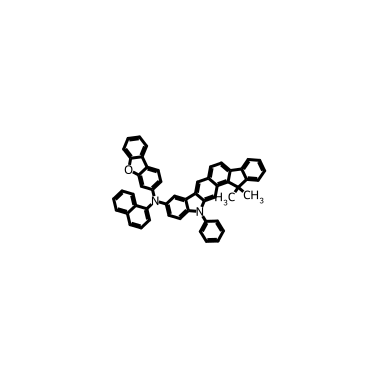 CC1(C)c2ccccc2-c2ccc3cc4c5cc(N(c6ccc7c(c6)oc6ccccc67)c6cccc7ccccc67)ccc5n(-c5ccccc5)c4cc3c21